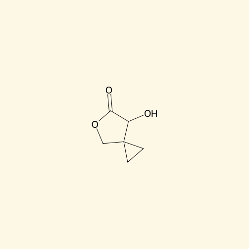 O=C1OCC2(CC2)C1O